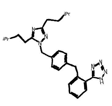 CC(C)CCc1nc(CCC(C)C)n(Cc2ccc(Cc3ccccc3-c3nnn[nH]3)cc2)n1